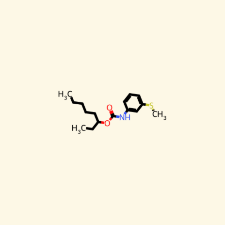 CCCCCC(CC)OC(=O)Nc1cccc(SC)c1